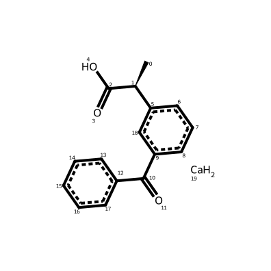 C[C@H](C(=O)O)c1cccc(C(=O)c2ccccc2)c1.[CaH2]